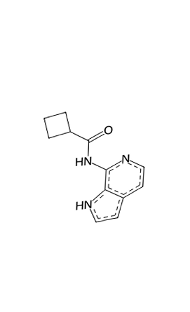 O=C(Nc1nccc2cc[nH]c12)C1CCC1